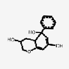 OC1=CC(O)(c2ccccc2)C2CC(O)COC2=C1